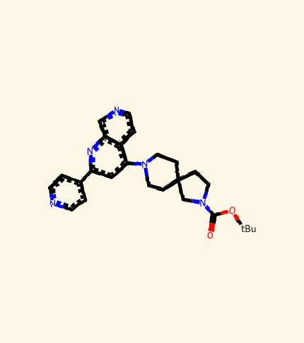 CC(C)(C)OC(=O)N1CCC2(CCN(c3cc(-c4ccncc4)nc4cnccc34)CC2)C1